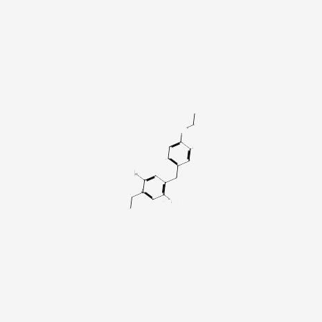 CCOc1ccc(Cc2cc(I)c(CC)cc2Cl)cc1